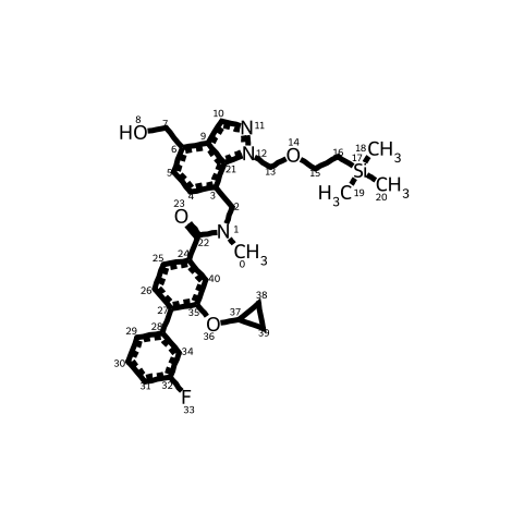 CN(Cc1ccc(CO)c2cnn(COCC[Si](C)(C)C)c12)C(=O)c1ccc(-c2cccc(F)c2)c(OC2CC2)c1